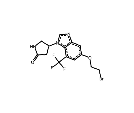 O=C1CC(n2cnc3cc(OCCBr)cc(C(F)(F)F)c32)CN1